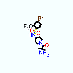 CC(C)(N)C(=O)N1CCC(NS(=O)(=O)c2ccc(Br)cc2C(F)(F)F)CC1